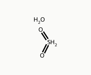 O.O=[SH2]=O